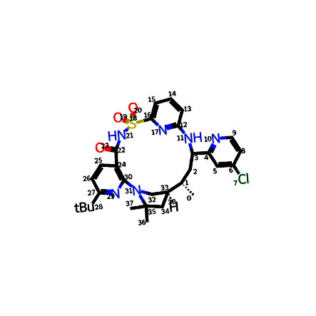 C[C@H]1CC(c2cc(Cl)ccn2)Nc2cccc(n2)S(=O)(=O)NC(=O)c2ccc(C(C)(C)C)nc2N2C[C@@H]1CC2(C)C